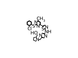 Cc1cc(-c2cnc(Nc3cnc(CN4CCCC4CO)cn3)s2)nc(Sc2ccccc2Cl)n1